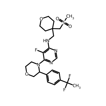 CC(F)(F)c1ccc(C2COCCN2c2ncnc(NCC3(CS(C)(=O)=O)CCOCC3)c2F)cc1